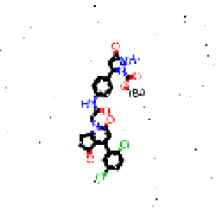 CC(C)(C)OC(=O)n1[nH]c(=O)cc1-c1ccc(NC(=O)Cn2c3c(c(-c4cc(Cl)ccc4Cl)cc2=O)C(=O)CC3)cc1